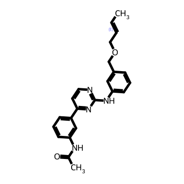 C/C=C/COCc1cccc(Nc2nccc(-c3cccc(NC(C)=O)c3)n2)c1